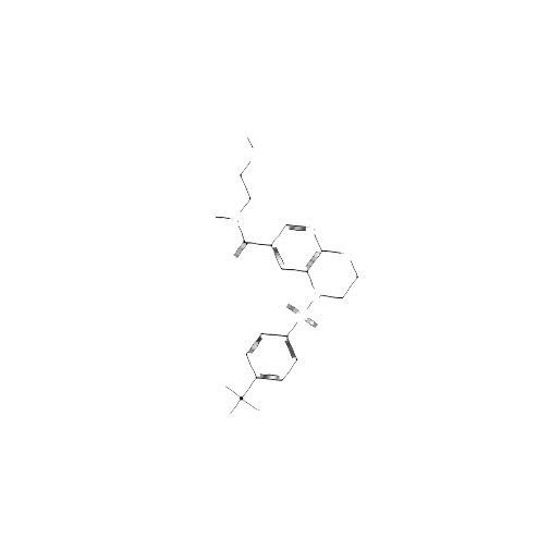 COCCN(C)C(=O)c1cnc2c(c1)N(S(=O)(=O)c1ccc(C(F)(F)F)cc1)CCO2